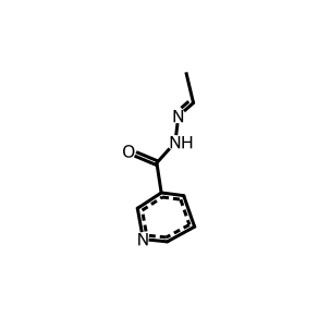 C/C=N/NC(=O)c1cccnc1